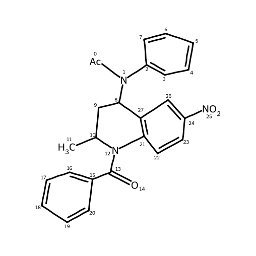 CC(=O)N(c1ccccc1)C1CC(C)N(C(=O)c2ccccc2)c2ccc([N+](=O)[O-])cc21